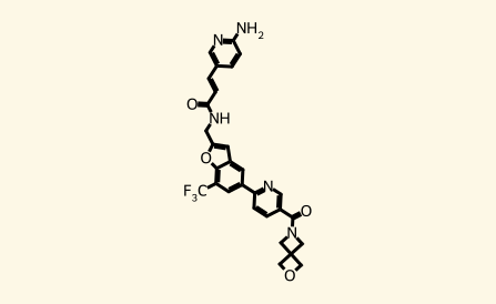 Nc1ccc(/C=C/C(=O)NCc2cc3cc(-c4ccc(C(=O)N5CC6(COC6)C5)cn4)cc(C(F)(F)F)c3o2)cn1